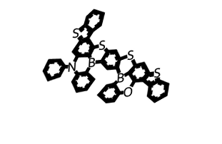 c1ccc(N2c3ccccc3B3c4cc5c(cc4Sc4c3c2cc2sc3ccccc3c42)Sc2cc3sc4ccccc4c3c3c2B5c2ccccc2O3)cc1